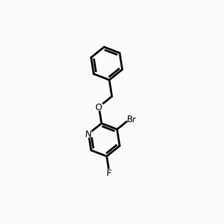 Fc1cnc(OCc2ccccc2)c(Br)c1